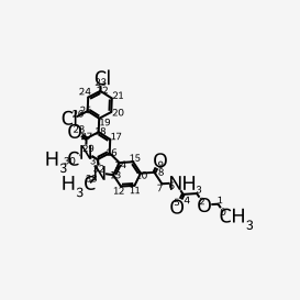 CCOCC(=O)NCC(=O)c1ccc2c(c1)c1cc(-c3ccc(Cl)cc3Cl)c(=O)n(C)c1n2C